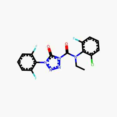 CCN(C(=O)n1nnn(-c2c(F)cccc2F)c1=O)c1c(F)cccc1Cl